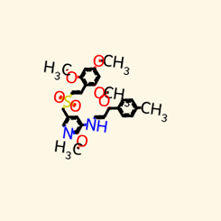 COc1cc(OC)c(C=CS(=O)(=O)Cc2cnc(OC)c(NC=CC(=O)c3ccc(C)cc3)c2)c(OC)c1